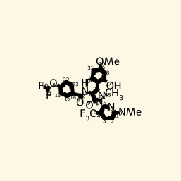 CNc1ccc(C(F)(F)F)c(-n2c(=O)c(NC(=O)c3ccc(OC(F)F)cc3)c(-c3c(O)cc(OC)cc3F)n2C)n1